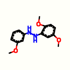 COc1cccc(NNc2cc(OC)ccc2OC)c1